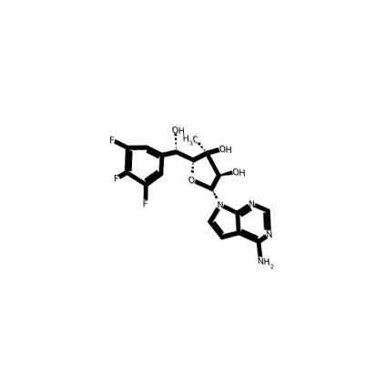 C[C@@]1(O)[C@@H]([C@@H](O)c2cc(F)c(F)c(F)c2)O[C@@H](n2ccc3c(N)ncnc32)[C@@H]1O